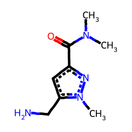 CN(C)C(=O)c1cc(CN)n(C)n1